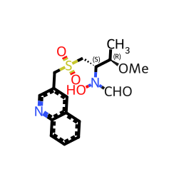 CO[C@H](C)[C@@H](CS(=O)(=O)Cc1cnc2ccccc2c1)N(O)C=O